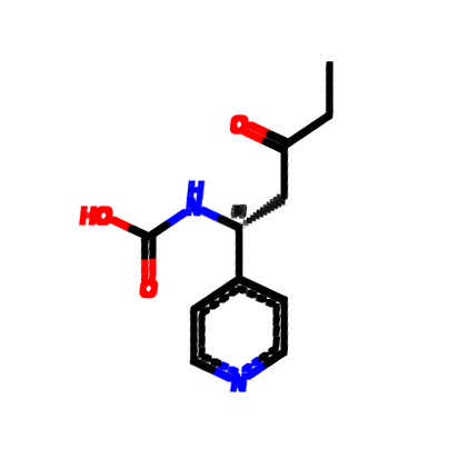 CCC(=O)C[C@@H](NC(=O)O)c1ccncc1